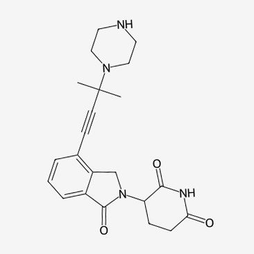 CC(C)(C#Cc1cccc2c1CN(C1CCC(=O)NC1=O)C2=O)N1CCNCC1